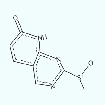 C[S+]([O-])c1ncc2ccc(=O)[nH]c2n1